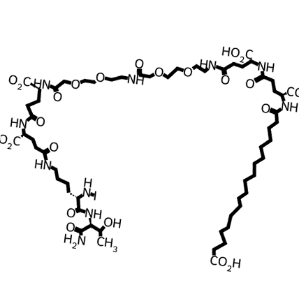 CC(O)[C@H](NC(=O)[C@H](CCCCNC(=O)CC[C@H](NC(=O)CC[C@H](NC(=O)COCCOCCNC(=O)COCCOCCNC(=O)CC[C@H](NC(=O)CC[C@H](NC(=O)CCCCCCCCCCCCCCCCC(=O)O)C(=O)O)C(=O)O)C(=O)O)C(=O)O)NI)C(N)=O